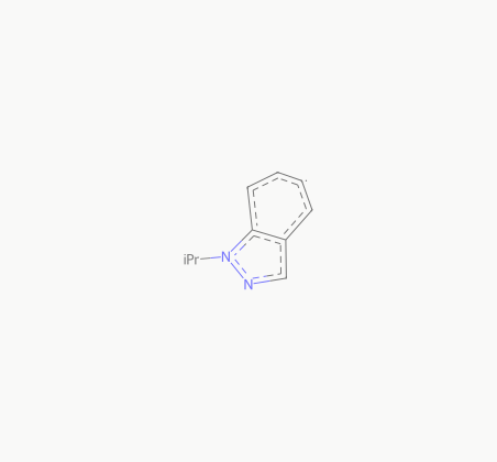 CC(C)n1ncc2c[c]ccc21